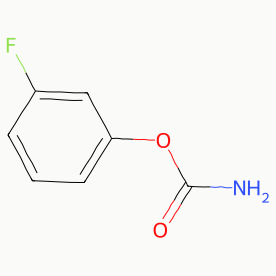 NC(=O)Oc1cccc(F)c1